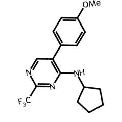 COc1ccc(-c2cnc(C(F)(F)F)nc2NC2CCCC2)cc1